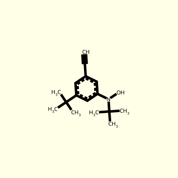 C#Cc1cc(N(O)C(C)(C)C)cc(C(C)(C)C)c1